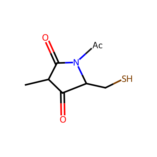 CC(=O)N1C(=O)C(C)C(=O)C1CS